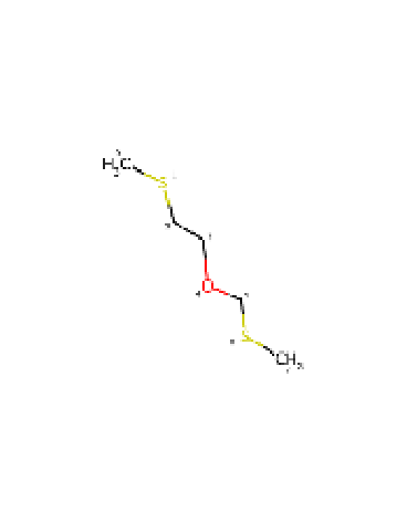 CSCCOCSC